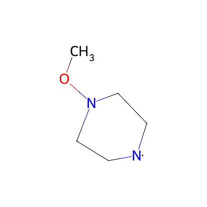 CON1CC[N]CC1